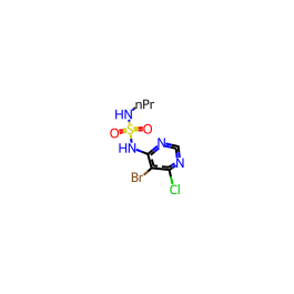 CCCNS(=O)(=O)Nc1ncnc(Cl)c1Br